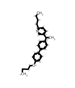 CCCCOc1ccc(-c2ccc(C(C)c3ccc(CCCC)nc3)cc2)cc1